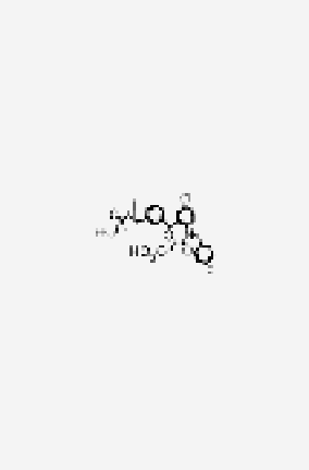 CC(C)(C)OC(=O)NCc1cccc(C2OC(CC(=O)O)C(=O)N(Cc3ccc(F)cc3)c3ccc(Cl)cc32)c1